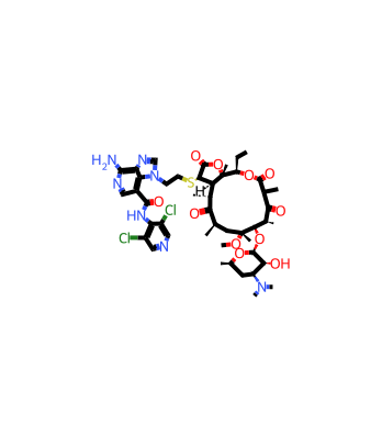 CC[C@H]1OC(=O)C(C)C(=O)[C@H](C)[C@@H](O[C@@H]2O[C@H](C)C[C@H](N(C)C)[C@H]2O)[C@](C)(OC)C[C@@H](C)C(=O)[C@H](C)[C@H]2[C@H](SCCn3cnc4c(N)ncc(C(=O)Nc5c(Cl)cncc5Cl)c43)C(=O)O[C@@]21C